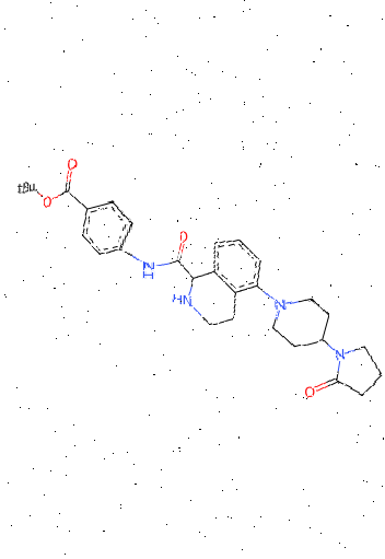 CC(C)(C)OC(=O)c1ccc(NC(=O)C2NCCc3c2cccc3N2CCC(N3CCCC3=O)CC2)cc1